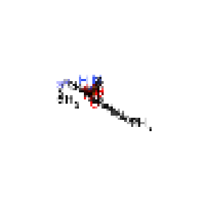 CCCCC/C=C\C/C=C\CCCCCCCC(=O)O[C@H](COC(=O)CCCCCCCCCCCCCCCCC)COP(=O)(O)OCCN